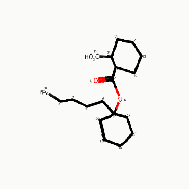 CC(C)CCCCC1(OC(=O)C2CCCCC2C(=O)O)CCCCC1